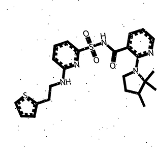 CC1CCN(c2ncccc2C(=O)NS(=O)(=O)c2cccc(NCCc3cccs3)n2)C1(C)C